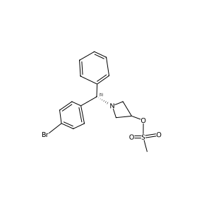 CS(=O)(=O)OC1CN([C@@H](c2ccccc2)c2ccc(Br)cc2)C1